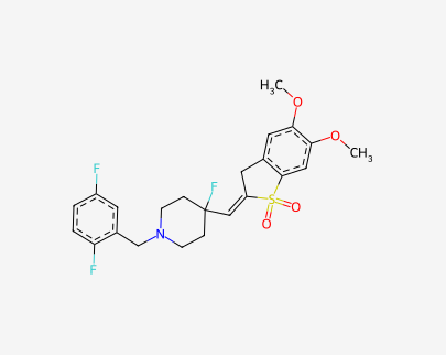 COc1cc2c(cc1OC)S(=O)(=O)C(=CC1(F)CCN(Cc3cc(F)ccc3F)CC1)C2